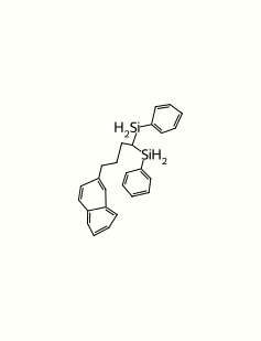 c1ccc([SiH2]C(CCCc2ccc3ccccc3c2)[SiH2]c2ccccc2)cc1